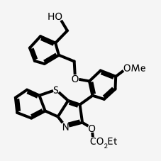 CCOC(=O)OC1=NC2C(=C1c1ccc(OC)cc1OCc1ccccc1CO)Sc1ccccc12